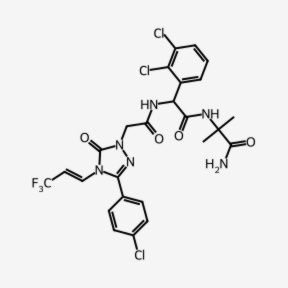 CC(C)(NC(=O)C(NC(=O)Cn1nc(-c2ccc(Cl)cc2)n(/C=C/C(F)(F)F)c1=O)c1cccc(Cl)c1Cl)C(N)=O